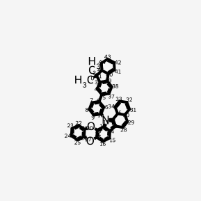 CC1(C)c2cc(-c3cccc(-n4c5c(c6ccc7c(c64)Oc4ccccc4O7)C=CC4C=CC=CC54)c3)ccc2C2=CC=CCC21